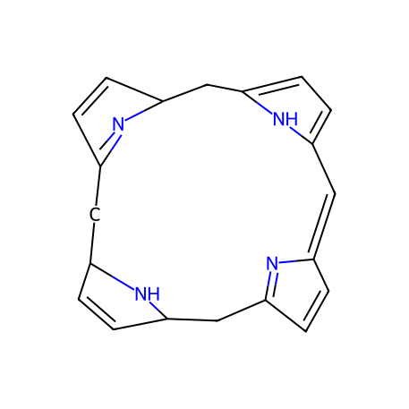 C1=C/C2=C/c3ccc([nH]3)CC3C=CC(=N3)CC3C=CC(CC1=N2)N3